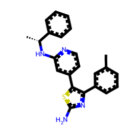 Cc1cccc(-c2nc(N)sc2-c2ccnc(N[C@H](C)c3ccccc3)c2)c1